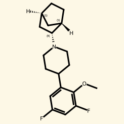 COc1c(F)cc(F)cc1C1CCN([C@@H]2C[C@H]3CC[C@H]2C3)CC1